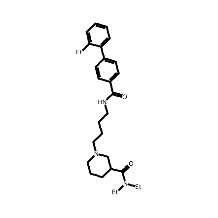 CCc1ccccc1-c1ccc(C(=O)NCCCCN2CCCC(C(=O)N(CC)CC)C2)cc1